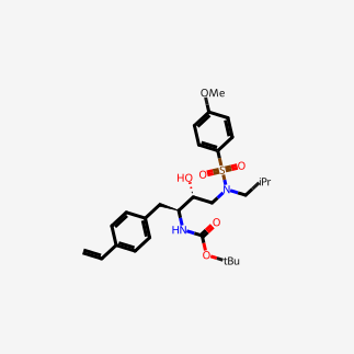 C=Cc1ccc(C[C@H](NC(=O)OC(C)(C)C)[C@H](O)CN(CC(C)C)S(=O)(=O)c2ccc(OC)cc2)cc1